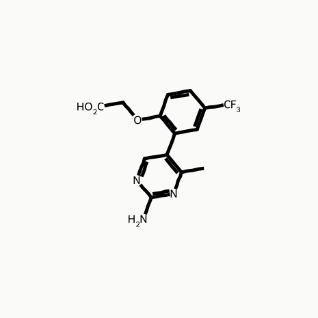 Cc1nc(N)ncc1-c1cc(C(F)(F)F)ccc1OCC(=O)O